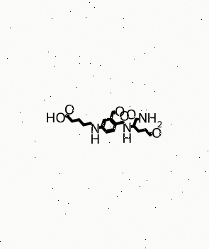 NC(=O)C(CCC=O)NC(=O)c1ccc(NCCCCC(=O)O)cc1C=O